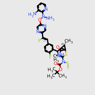 CNC(=O)C12SC(N(SF)C(=O)OC(C)(C)C)=NC(c3cc(/C=C(\F)c4cnc(ON(N)c5ncccc5N)cn4)ccc3F)C1[C@@H]2C